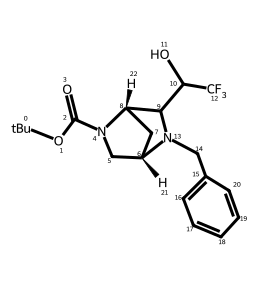 CC(C)(C)OC(=O)N1C[C@@H]2C[C@H]1C(C(O)C(F)(F)F)N2Cc1ccccc1